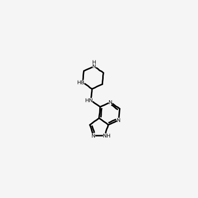 B1CNCCC1Nc1ncnc2[nH]ncc12